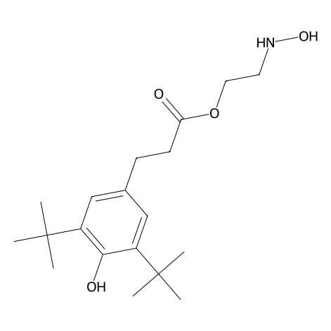 CC(C)(C)c1cc(CCC(=O)OCCNO)cc(C(C)(C)C)c1O